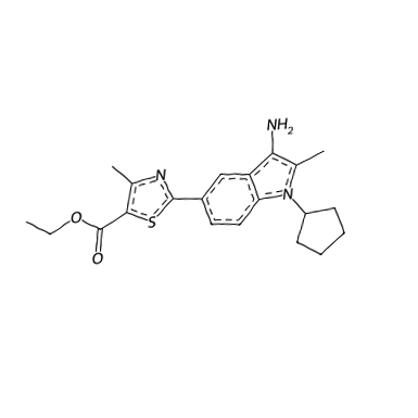 CCOC(=O)c1sc(-c2ccc3c(c2)c(N)c(C)n3C2CCCC2)nc1C